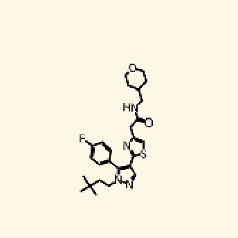 CC(C)(C)CCn1ncc(-c2nc(CC(=O)NCC3CCOCC3)cs2)c1-c1ccc(F)cc1